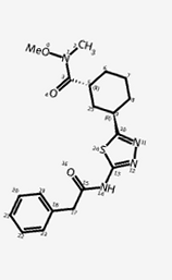 CON(C)C(=O)[C@@H]1CCC[C@@H](c2nnc(NC(=O)Cc3ccccc3)s2)C1